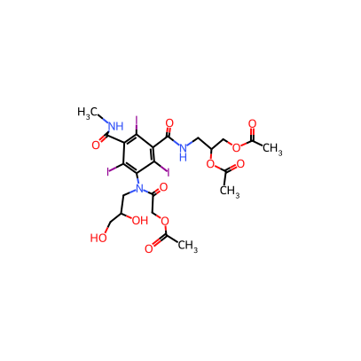 CNC(=O)c1c(I)c(C(=O)NCC(COC(C)=O)OC(C)=O)c(I)c(N(CC(O)CO)C(=O)COC(C)=O)c1I